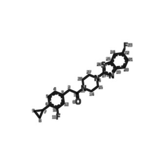 O=C(Cc1ccc(C2CC2)c(F)c1)N1CCN(c2nc3ccc(F)cc3s2)CC1